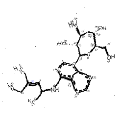 C/C(=C/C(C)Nc1ncn(C2O[C@H](CO)[C@@H](O)[C@H](O)[C@H]2O)c2ncnc1-2)CO